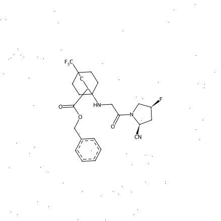 N#C[C@@H]1C[C@H](F)CN1C(=O)CNC12CCC(C(F)(F)F)(CC1)CC2C(=O)OCc1ccccc1